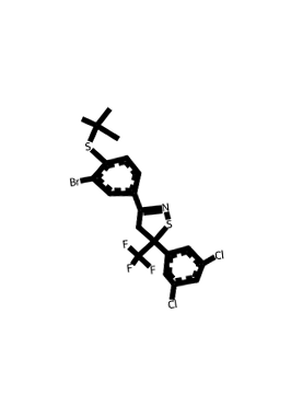 CC(C)(C)Sc1ccc(C2=NSC(c3cc(Cl)cc(Cl)c3)(C(F)(F)F)C2)cc1Br